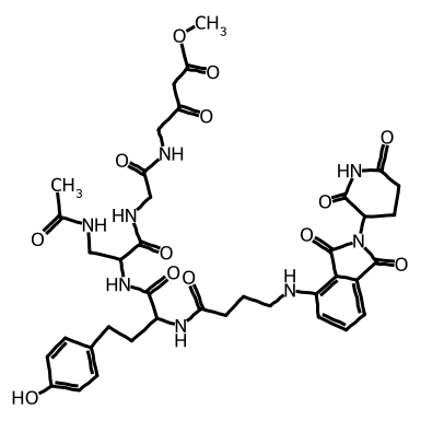 COC(=O)CC(=O)CNC(=O)CNC(=O)C(CNC(C)=O)NC(=O)C(CCc1ccc(O)cc1)NC(=O)CCCNc1cccc2c1C(=O)N(C1CCC(=O)NC1=O)C2=O